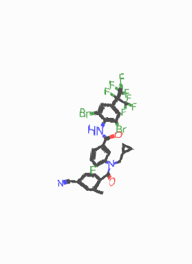 Cc1cc(C#N)ccc1C(=O)N(CC1CC1)c1cc(C(=O)Nc2c(Br)cc(C(F)(C(F)(F)F)C(F)(F)F)cc2Br)ccc1F